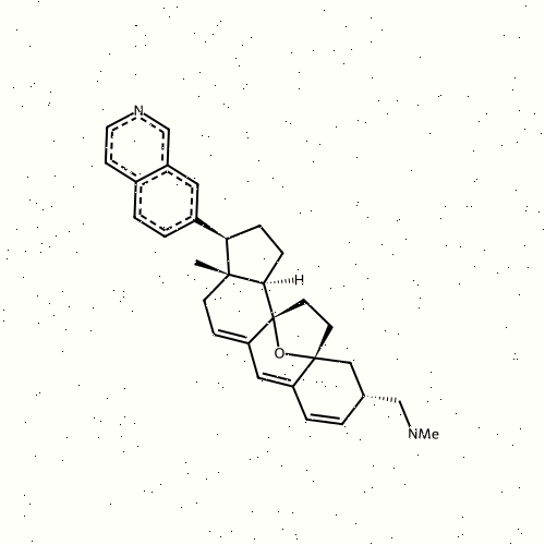 CNC[C@@H]1C=CC2=CC3=CC[C@]4(C)[C@@H](c5ccc6ccncc6c5)CC[C@H]4[C@@]34CC[C@]2(C1)O4